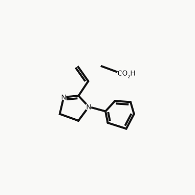 C=CC1=NCCN1c1ccccc1.CC(=O)O